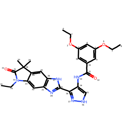 CCOc1cc(OCC)cc(C(=O)Nc2c[nH]nc2-c2nc3cc4c(cc3[nH]2)C(C)(C)C(=O)N4CC)c1